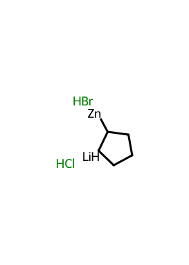 Br.Cl.[LiH].[Zn][CH]1CCCC1